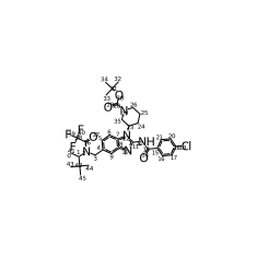 CC(N(Cc1ccc2c(c1)nc(NC(=O)c1ccc(Cl)cc1)n2C1CCCN(C(=O)OC(C)(C)C)C1)C(=O)C(F)(F)F)C(C)(C)C